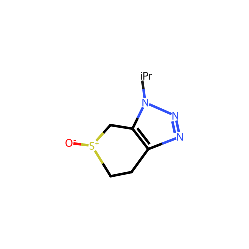 CC(C)n1nnc2c1C[S+]([O-])CC2